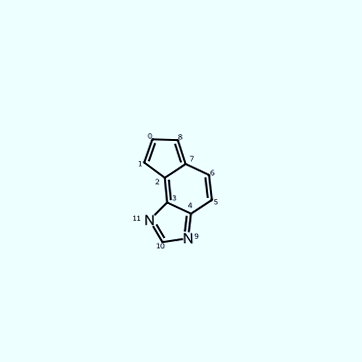 C1=Cc2c3c(ccc2=C1)=NC=N3